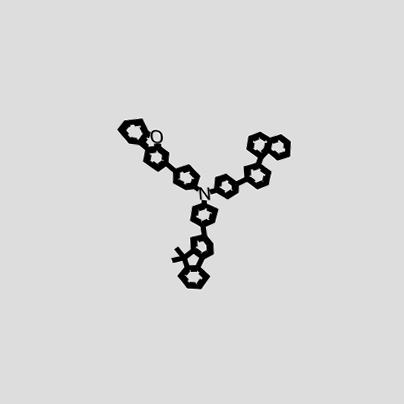 CC1(C)c2ccccc2-c2ccc(-c3ccc(N(c4ccc(-c5cccc(-c6cccc7ccccc67)c5)cc4)c4ccc(-c5ccc6c(c5)oc5ccccc56)cc4)cc3)cc21